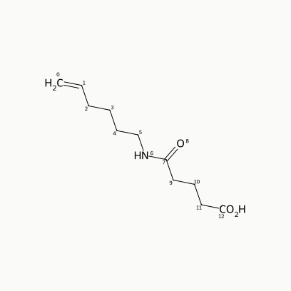 C=CCCCCNC(=O)CCCC(=O)O